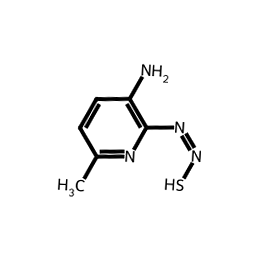 Cc1ccc(N)c(/N=N\S)n1